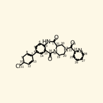 O=C1Nc2ccc(C3=CCC(Cl)C=C3)cc2C(=O)N2CCN(C(=O)c3ccccn3)CC12